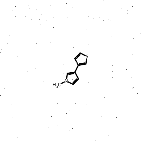 Cn1ccc(-c2ccsc2)c1